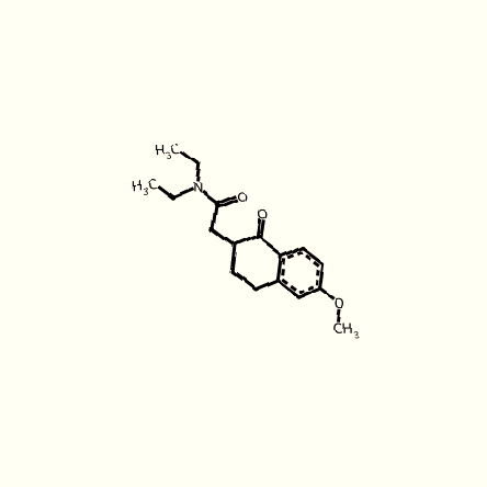 CCN(CC)C(=O)CC1CCc2cc(OC)ccc2C1=O